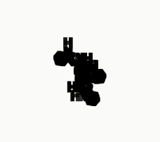 N[C@@H](Cc1c[nH]c2ccccc12)C(=O)N[C@@H](Cc1ccccc1)C(=O)N[C@@H](Cc1c[nH]c2ccccc12)C(=O)O